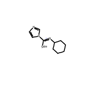 CS/C(=N\C1CCCCC1)n1ccnc1